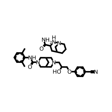 Cc1cccc(C)c1NC(=O)N1CC2CC(CN(CC(O)COc3ccc(C#N)cc3)C2)C1.NC(=O)C1CC2CCCN(C2)N1